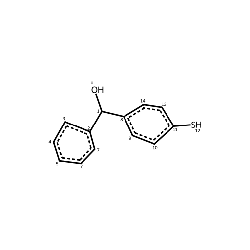 OC(c1ccccc1)c1ccc(S)cc1